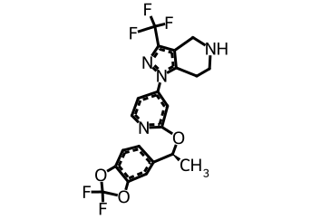 C[C@H](Oc1cc(-n2nc(C(F)(F)F)c3c2CCNC3)ccn1)c1ccc2c(c1)OC(F)(F)O2